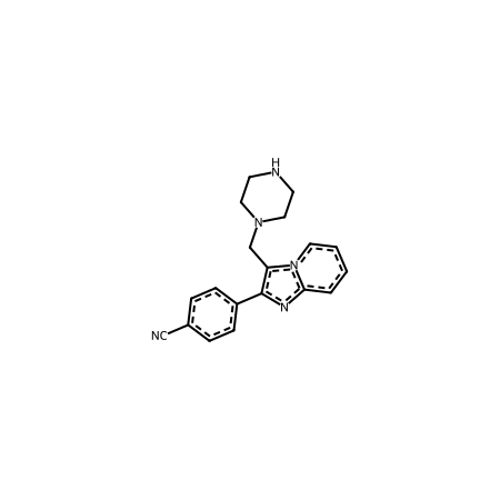 N#Cc1ccc(-c2nc3ccccn3c2CN2CCNCC2)cc1